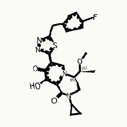 CO[C@@H](C)[C@H]1CN(C2CC2)C(=O)c2c(O)c(=O)c(-c3nnc(Cc4ccc(F)cc4)s3)cn21